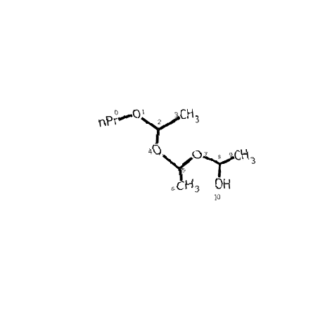 CCCOC(C)OC(C)OC(C)O